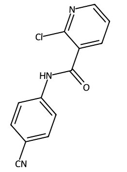 N#Cc1ccc(NC(=O)c2cccnc2Cl)cc1